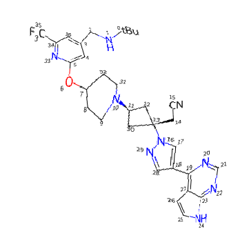 CC(C)(C)NCc1cc(OC2CCN([C@H]3C[C@](CC#N)(n4cc(-c5ncnc6[nH]ccc56)cn4)C3)CC2)nc(C(F)(F)F)c1